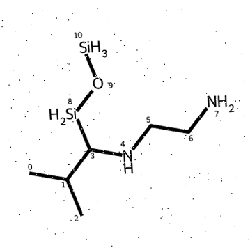 CC(C)C(NCCN)[SiH2]O[SiH3]